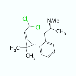 CC1(C)[CH]C1=CC(Cl)Cl.CN[C@@H](C)Cc1ccccc1